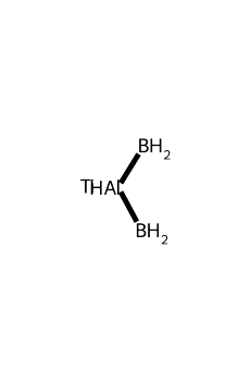 [BH2][AlH][BH2].[Ti]